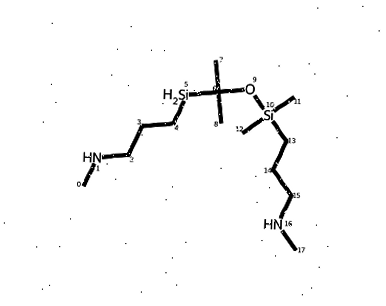 CNCCC[SiH2]C(C)(C)O[Si](C)(C)CCCNC